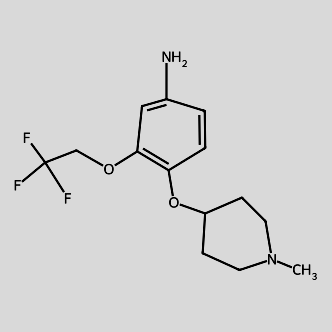 CN1CCC(Oc2ccc(N)cc2OCC(F)(F)F)CC1